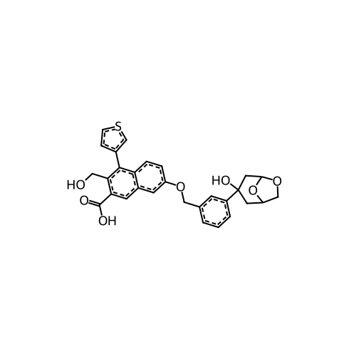 O=C(O)c1cc2cc(OCc3cccc(C4(O)CC5COC(C4)O5)c3)ccc2c(-c2ccsc2)c1CO